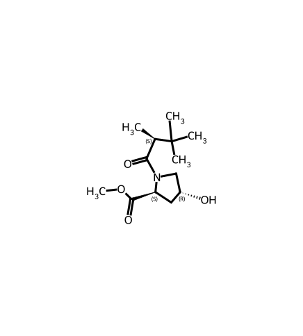 COC(=O)[C@@H]1C[C@@H](O)CN1C(=O)[C@@H](C)C(C)(C)C